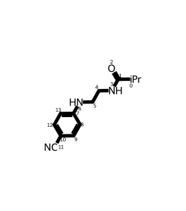 CC(C)C(=O)NCCNc1ccc(C#N)cc1